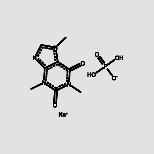 Cn1c(=O)c2c(ncn2C)n(C)c1=O.O=P([O-])(O)O.[Na+]